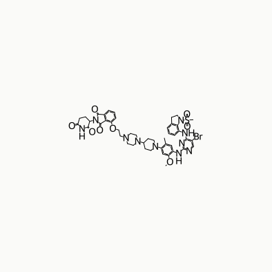 COc1cc(N2CCC(N3CCN(CCOc4cccc5c4C(=O)N(C4CCC(=O)NC4=O)C5=O)CC3)CC2)c(C)cc1Nc1ncc(Br)c(Nc2cccc3c2N(S(C)(=O)=O)CC3)n1